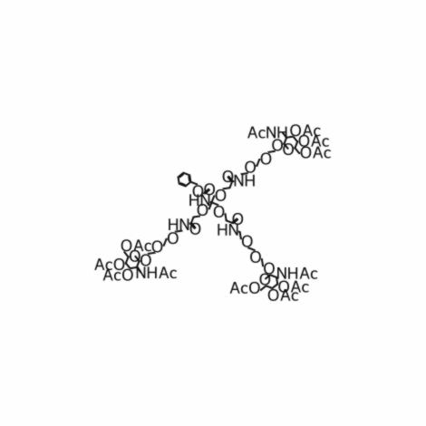 CC(=O)NC1C(OCCOCCOCCNC(=O)CCOCC(COCCC(=O)NCCOCCOCCOC2OC(COC(C)=O)C(OC(C)=O)C(OC(C)=O)C2NC(C)=O)(COCCC(=O)NCCOCCOCCOC2OC(COC(C)=O)C(OC(C)=O)C(OC(C)=O)C2NC(C)=O)NC(=O)OCc2ccccc2)OC(COC(C)=O)C(OC(C)=O)C1OC(C)=O